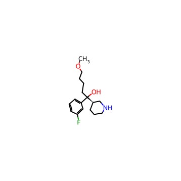 COCCCCC(O)(c1cccc(F)c1)[C@@H]1CCCNC1